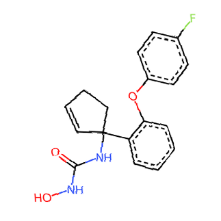 O=C(NO)NC1(c2ccccc2Oc2ccc(F)cc2)C=CCC1